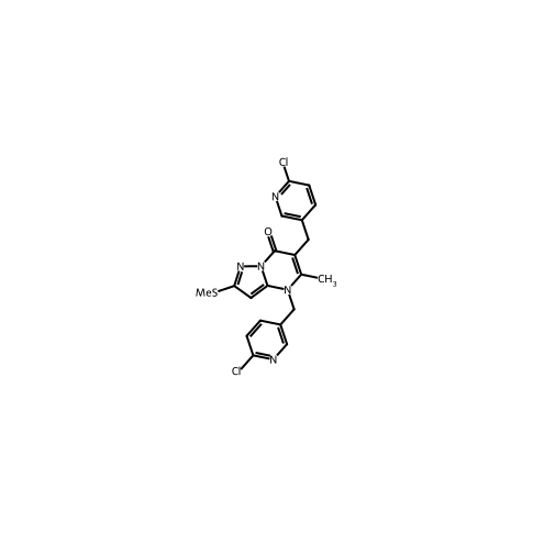 CSc1cc2n(Cc3ccc(Cl)nc3)c(C)c(Cc3ccc(Cl)nc3)c(=O)n2n1